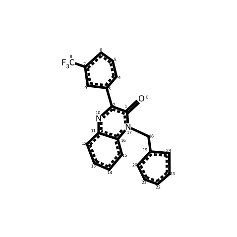 O=c1c(-c2cccc(C(F)(F)F)c2)nc2ccccc2n1Cc1ccccc1